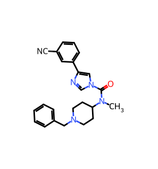 CN(C(=O)n1cnc(-c2cccc(C#N)c2)c1)C1CCN(Cc2ccccc2)CC1